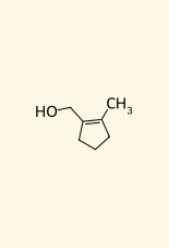 CC1=C(CO)CCC1